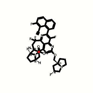 C#Cc1c(F)ccc2cccc(-c3nc4c5c(nc(OC[C@@]67CCCN6C[C@H](F)C7)nc5c3F)N3C[C@H]5CC[C@@H]([C@H]3CC4(F)F)N5C(=O)OC(C)(C)C)c12